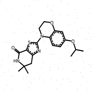 CC(C)Oc1ccc2c(c1)OCCN2c1nc2c(s1)C(=O)NC(C)(C)C2